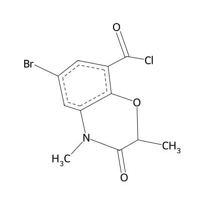 CC1Oc2c(C(=O)Cl)cc(Br)cc2N(C)C1=O